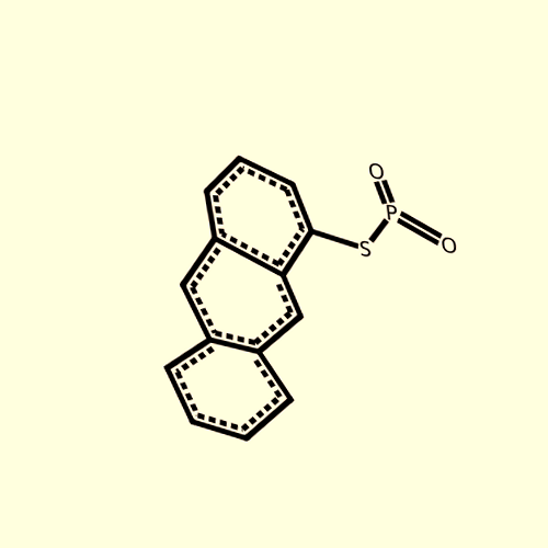 O=P(=O)Sc1cccc2cc3ccccc3cc12